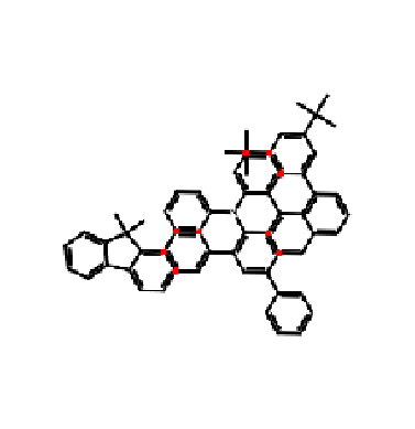 CC(C)(C)c1cc(-c2cccc3cccc(-c4ccccc4N(c4cccc(-c5cccc6c5C(C)(C)c5ccccc5-6)c4)c4ccc(-c5ccccc5)cc4-c4ccccc4)c23)cc(C(C)(C)C)c1